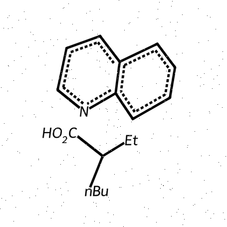 CCCCC(CC)C(=O)O.c1ccc2ncccc2c1